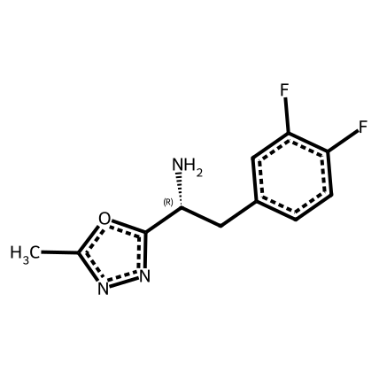 Cc1nnc([C@H](N)Cc2ccc(F)c(F)c2)o1